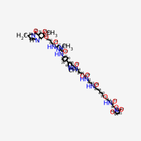 C=C1C[C@H]2C=Nc3cc(OCCCC(=O)Nc4cn(C)c(C(=O)Nc5ccc(-c6cc(C(=O)NCCCOC(=O)NCCCNC(=O)CCCCCOCCNC(=O)CON7C(=O)C=CC7=O)n(C)c6)cc5)n4)c(OC)cc3C(=O)N2C1